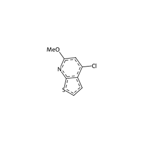 COc1cc(Cl)c2ccsc2n1